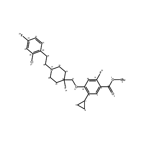 CC(C)(C)OC(=O)c1cc(C2CC2)c(OCC2(F)CCN(CCc3ccc(F)cc3Cl)CC2)cc1F